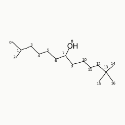 CC(C)CCCCC(O)CCCCC(C)(C)C